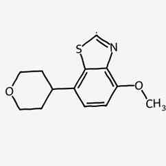 COc1ccc(C2CCOCC2)c2s[c]nc12